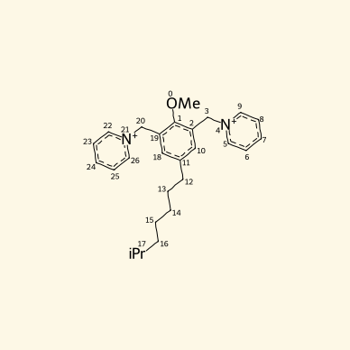 COc1c(C[n+]2ccccc2)cc(CCCCCC(C)C)cc1C[n+]1ccccc1